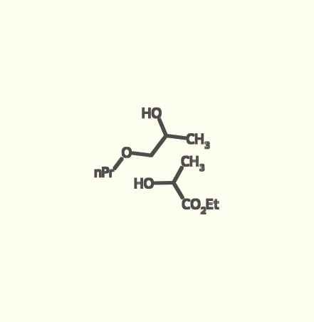 CCCOCC(C)O.CCOC(=O)C(C)O